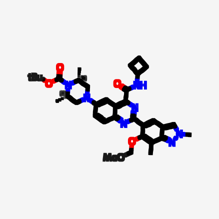 COCOc1c(-c2nc(C(=O)NC3CCC3)c3cc(N4C[C@@H](C)N(C(=O)OC(C)(C)C)[C@@H](C)C4)ccc3n2)cc2cn(C)nc2c1C